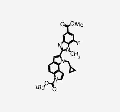 COC(=O)c1cc(F)c2c(c1)nc(-c1cc3ccc4c(ccn4C(=O)OC(C)(C)C)c3n1CC1CC1)n2C